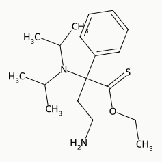 CCOC(=S)C(CCN)(c1ccccc1)N(C(C)C)C(C)C